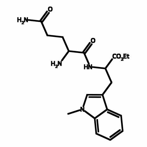 CCOC(=O)C(Cc1cn(C)c2ccccc12)NC(=O)C(N)CCC(N)=O